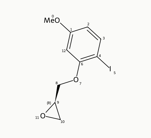 COc1ccc(I)c(OC[C@H]2CO2)c1